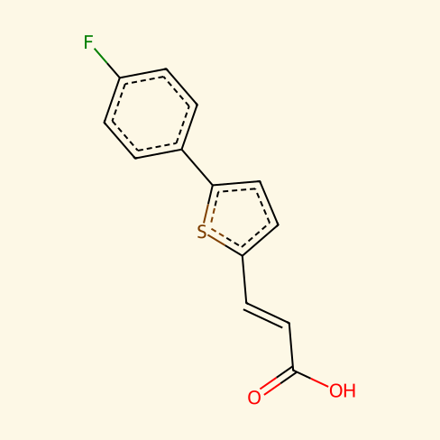 O=C(O)/C=C/c1ccc(-c2ccc(F)cc2)s1